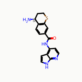 N[C@H]1CCSc2cc(C(=O)Nc3ccnc4[nH]ccc34)ccc21